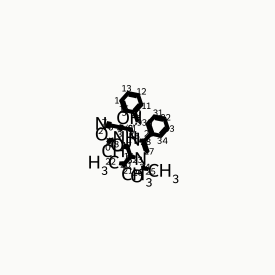 CC(=O)NC(O)(C#N)[C@H](Cc1ccccc1)N1C(=O)C(C(C)C)N(C(C)=O)C=C1c1ccccc1